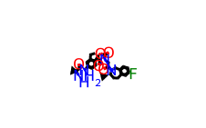 NC1(C(=O)Nc2ccc3c(c2)CC[C@@]32OC(=O)N(CC(=O)N3Cc4ccc(F)cc4CC[C@@H]3C3CC3)C2=O)CC1